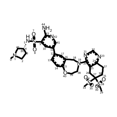 CN1CC[C@@H](NS(=O)(=O)c2cc(-c3ccc4c(c3)CN(c3ncnc5c3CC(S(C)(=O)=O)(S(C)(=O)=O)CC5)CCO4)cnc2N)C1